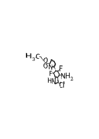 CCCOC(=O)c1cccc(-c2c(F)c(N)c3c(Cl)c[nH]c3c2F)n1